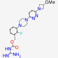 COC1CN(c2ccc(N3CCN(c4cccc(COC(=O)NC(=N)N)c4F)CC3)nn2)C1